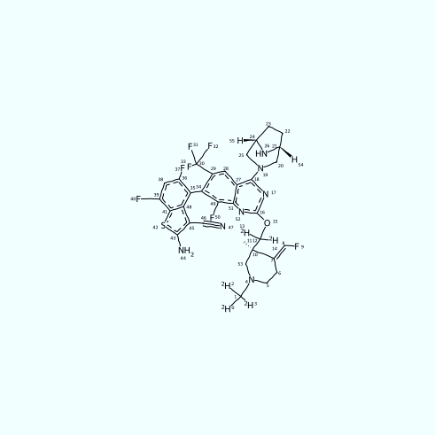 [2H]C([2H])([2H])N1CC/C(=C\F)[C@](C)(C([2H])([2H])Oc2nc(N3C[C@H]4CC[C@@H](C3)N4)c3cc(C(F)(F)F)c(-c4c(F)cc(F)c5sc(N)c(C#N)c45)c(F)c3n2)C1